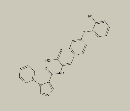 O=C(O)/C(=C\c1ccc(Oc2ccccc2Br)cc1)NC(=O)c1cccn1-c1ccccc1